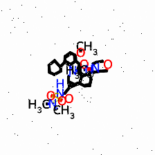 COc1ccc(C2CCCCC2)c2c1cc1n2CC2=C(C(=O)NS(=O)(=O)N(C)C)C2=C2C=CC[C@@H](C(=O)N3C4COCC3CN(C)C4)C21